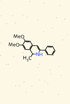 COc1cc2c(cc1OC)C(C)NC(c1ccccc1)=C2